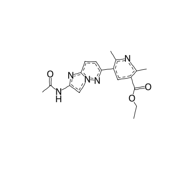 CCOC(=O)c1cc(-c2ccc3nc(NC(C)=O)cn3n2)c(C)nc1C